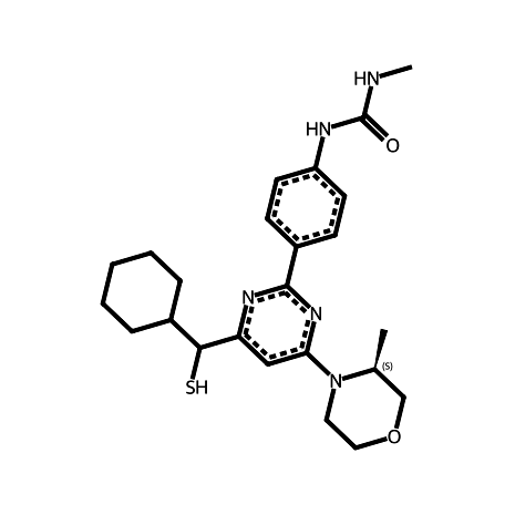 CNC(=O)Nc1ccc(-c2nc(C(S)C3CCCCC3)cc(N3CCOC[C@@H]3C)n2)cc1